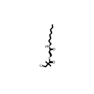 CCCCCCCCNC(=O)C=CSC(=O)C(C)(C)CCl